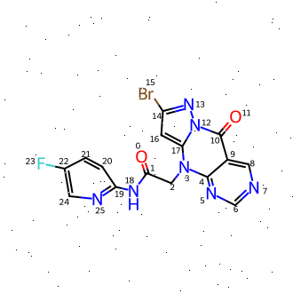 O=C(Cn1c2ncncc2c(=O)n2nc(Br)cc12)Nc1ccc(F)cn1